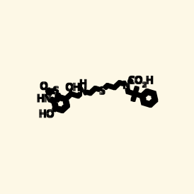 CC(C)(CN(CCCSCCNC[C@H](O)c1ccc(O)c2[nH]c(=O)sc12)C(=O)O)c1ccccc1